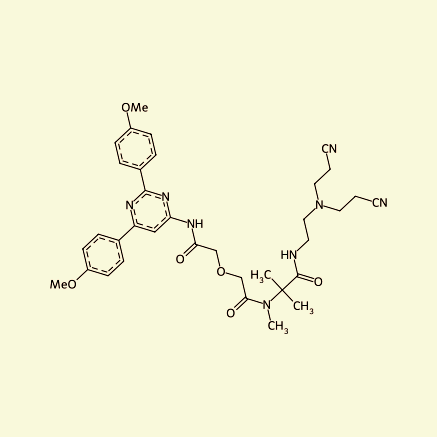 COc1ccc(-c2cc(NC(=O)COCC(=O)N(C)C(C)(C)C(=O)NCCN(CCC#N)CCC#N)nc(-c3ccc(OC)cc3)n2)cc1